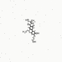 CCC1Cc2cc(OCCCO)c(O)cc2-c2cc(=O)c(C(=O)NC(C)CO)cn21